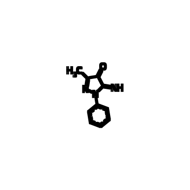 CC1=NN(c2ccccc2)C(=N)C1=O